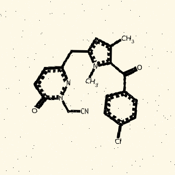 Cc1cc(Cc2ccc(=O)n(CC#N)n2)n(C)c1C(=O)c1ccc(Cl)cc1